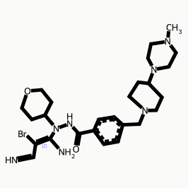 CN1CCN(C2CCN(Cc3ccc(C(=O)NN(/C(N)=C(\Br)C=N)C4CCOCC4)cc3)CC2)CC1